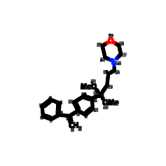 C=C(c1ccccc1)c1ccc([Si](CCCN2CCOCC2)(OC)OC)cc1